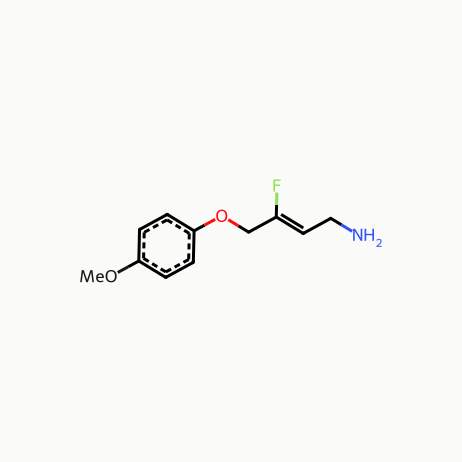 COc1ccc(OCC(F)=CCN)cc1